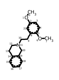 COc1ccc(OC)c(CCN2CCc3ccccc3C2)c1